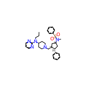 CCCN(c1ncccn1)C1CCN(C[C@H]2C[C@@H](N(C)S(=O)(=O)c3ccccc3)C[C@@H]2c2ccccc2)CC1